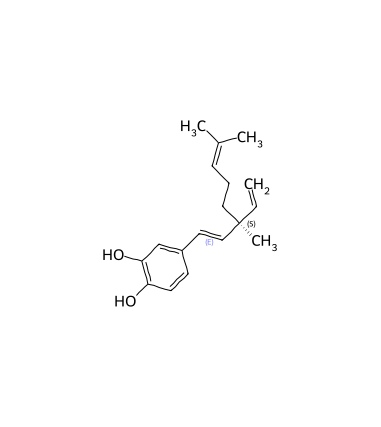 C=C[C@@](C)(/C=C/c1ccc(O)c(O)c1)CCC=C(C)C